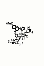 CC[C@@H]1C[C@]1(NC(=O)[C@@H]1C[C@@H](Oc2cc(-n3cccn3)nc3cc(OC)ccc23)CN1C(=O)[C@@H](NC(=O)O[C@H]1C[C@@H]2C[C@@H]2C1)C(C)(C)C)C(=O)O